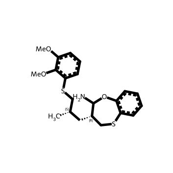 COc1cccc(SC[C@@H](C)C[C@H]2CSc3ccccc3OC2N)c1OC